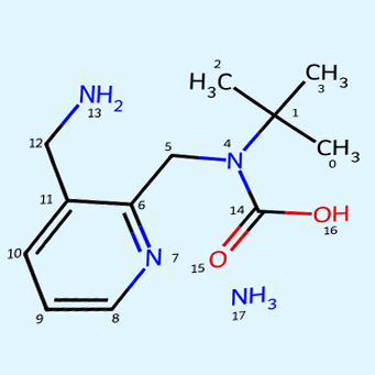 CC(C)(C)N(Cc1ncccc1CN)C(=O)O.N